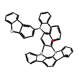 c1ccc(-c2ccccc2N(c2ccc3oc4ccccc4c3c2)c2ccc3c(c2)n2c4ccccc4c4ccc5c6ccccc6n3c5c42)cc1